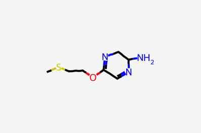 CSCCOC1=NCC(N)N=C1